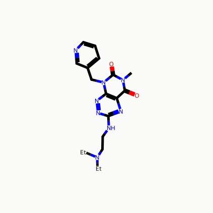 CCN(CC)CCNc1nnc2c(n1)c(=O)n(C)c(=O)n2Cc1cccnc1